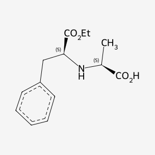 CCOC(=O)[C@H](Cc1ccccc1)N[C@@H](C)C(=O)O